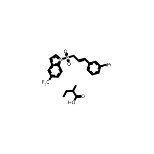 CC(C)c1cccc(C=CCS(=O)(=O)n2ccc3cc(C(F)(F)F)ccc32)c1.CCC(C)C(=O)O